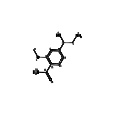 COc1cc(C(O)CN)ccc1C(N)=O